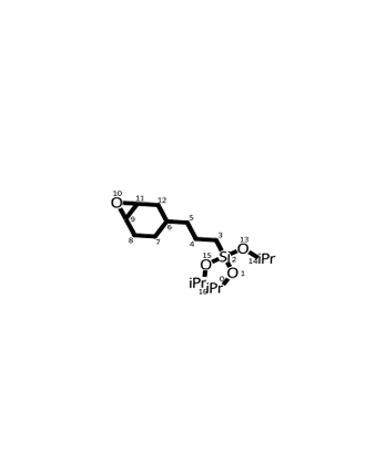 CC(C)O[Si](CCCC1CCC2OC2C1)(OC(C)C)OC(C)C